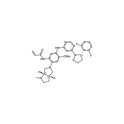 C=CC(=O)Nc1cc(Nc2cc(N3OCC[C@H]3c3c(F)cccc3F)ncn2)c(OC)cc1N1C[C@@H]2CCN(C)[C@@H]2C1